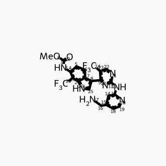 COC(=O)Nc1ccc2c(-c3nc(Nc4cc(CN)ccn4)ncc3C(F)(F)F)c[nH]c2c1C(F)(F)F